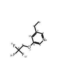 CCc1cncc(OCC(F)(F)F)c1